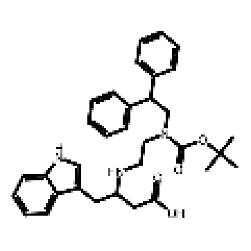 CC(C)(C)OC(=O)N(CCNC(CC(=O)O)Cc1c[nH]c2ccccc12)CC(c1ccccc1)c1ccccc1